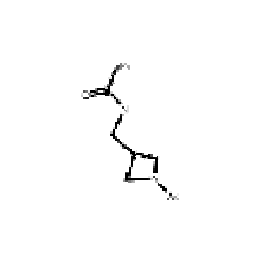 CC(=O)N1CC(CNC(=O)C(C)C)C1